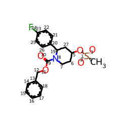 CS(=O)(=O)OC1CCN(C(=O)OCc2ccccc2)C(c2ccc(F)cc2)C1